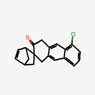 O=C1Cc2cc3c(Cl)cccc3cc2CC12CC1C=CC2C1